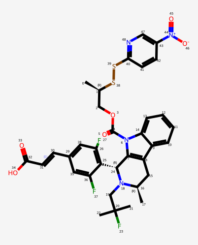 C[C@H](COC(=O)n1c2c(c3ccccc31)C[C@@H](C)N(CC(C)(C)F)[C@@H]2c1c(F)cc(/C=C/C(=O)O)cc1F)SSc1ccc([N+](=O)[O-])cn1